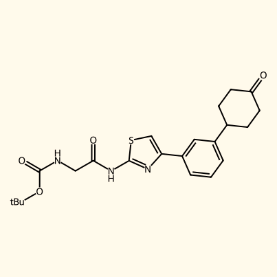 CC(C)(C)OC(=O)NCC(=O)Nc1nc(-c2cccc(C3CCC(=O)CC3)c2)cs1